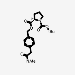 CNC(=O)Cc1ccc(COC(=O)[C@H]2CCCN2C(=O)OC(C)(C)C)cc1